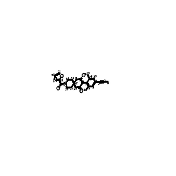 CC#Cc1cc(C)c(C2C(=O)CC3(CCN(C(=O)c4ncco4)CC3)CC2=O)c(C)c1